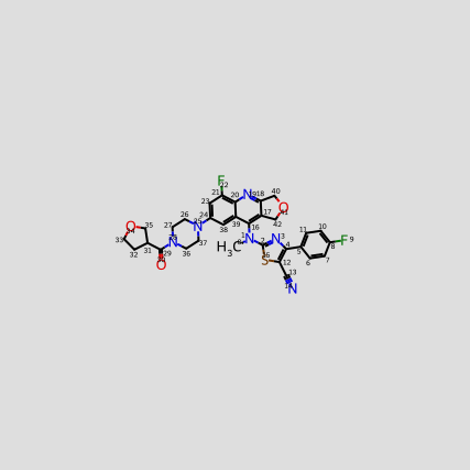 CN(c1nc(-c2ccc(F)cc2)c(C#N)s1)c1c2c(nc3c(F)cc(N4CCN(C(=O)C5CCOC5)CC4)cc13)COC2